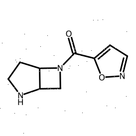 O=C(c1ccno1)N1CC2NCCC21